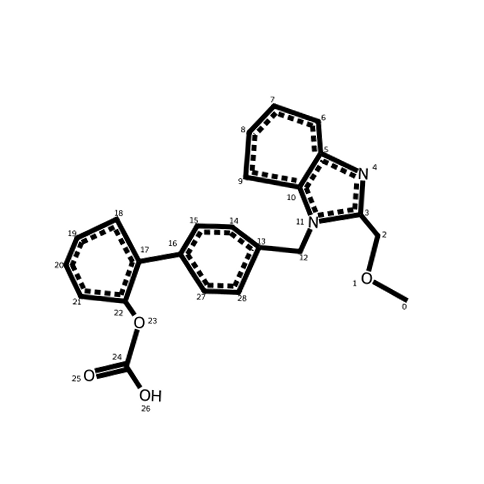 COCc1nc2ccccc2n1Cc1ccc(-c2ccccc2OC(=O)O)cc1